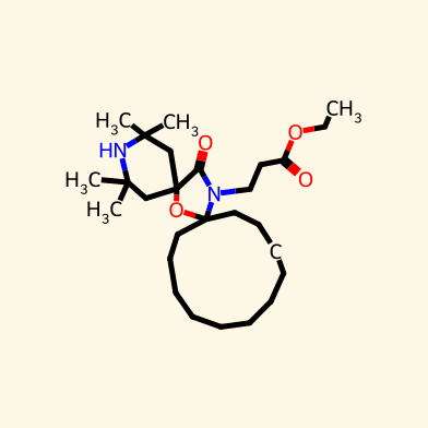 CCOC(=O)CCN1C(=O)C2(CC(C)(C)NC(C)(C)C2)OC12CCCCCCCCCCC2